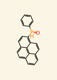 O=[PH](c1ccccc1)c1ccc2ccc3cccc4ccc1c2c34